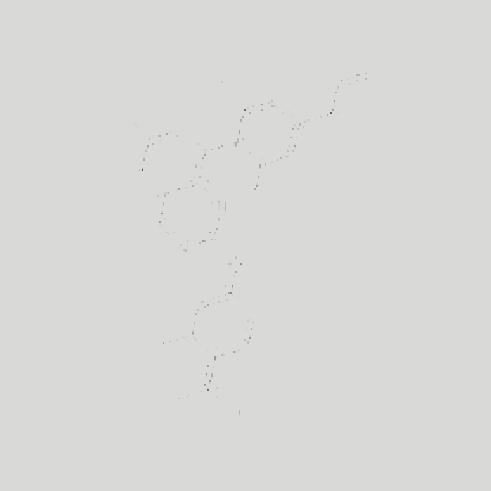 C=CC(C)c1cc(C)c(-c2cc(F)cc3cnc(NC4=CC(C)/C(=C(\C)CC)C=C4)nc23)c(C)c1